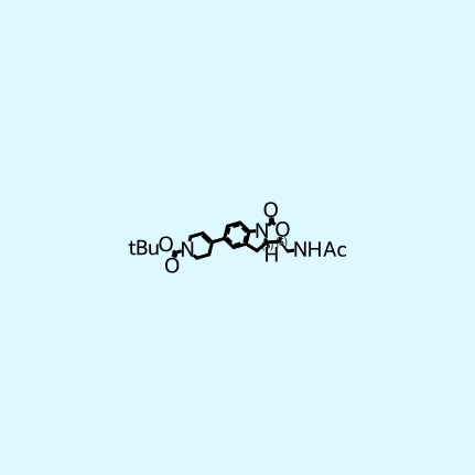 CC(=O)NC[C@@H]1OC(=O)N2c3ccc(C4=CCN(C(=O)OC(C)(C)C)CC4)cc3C[C@@H]12